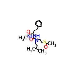 CNC(=O)C(CCc1ccccc1)NC(=O)N(CCSC(C)=O)CCC(C)C